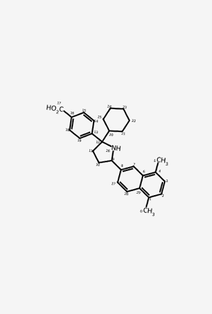 Cc1ccc(C)c2cc(C3CCC(c4ccc(C(=O)O)cc4)(C4CCCCC4)N3)ccc12